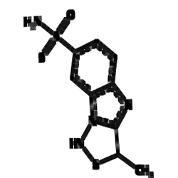 CC1SNn2c1nc1ccc(S(N)(=O)=S)cc12